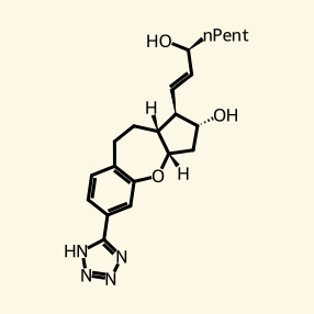 CCCCC[C@H](O)/C=C/[C@@H]1[C@H]2CCc3ccc(-c4nnn[nH]4)cc3O[C@H]2C[C@H]1O